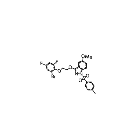 COc1ccc2c(c1)c(OCCOc1c(F)cc(F)cc1Br)nn2S(=O)(=O)c1ccc(C)cc1